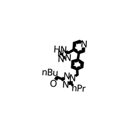 CCCCC(=O)c1nc(CCC)n(Cc2ccc(-c3cnccc3-c3nnn[nH]3)cc2)n1